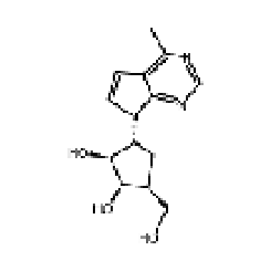 Cc1ncnc2c1ccn2[C@@H]1C[C@@H](CO)[C@@H](O)[C@H]1O